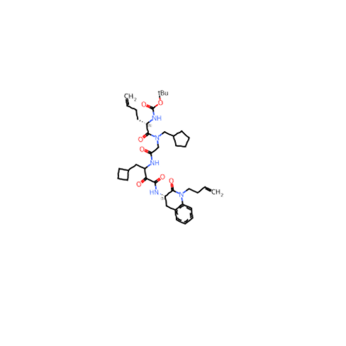 C=CCC[C@H](NC(=O)OC(C)(C)C)C(=O)N(CC(=O)NC(CC1CCC1)C(=O)C(=O)N[C@H]1Cc2ccccc2N(CCC=C)C1=O)CC1CCCC1